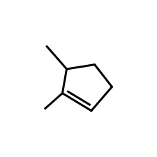 CC1=CCCC1C